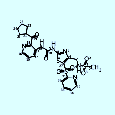 CS(=O)(=O)NCc1nc(NC(=O)Nc2cccnc2C(=O)C2CCCC2)sc1S(=O)(=O)c1ccccn1